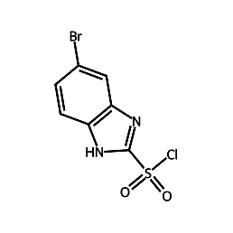 O=S(=O)(Cl)c1nc2cc(Br)ccc2[nH]1